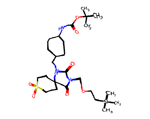 CC(C)(C)OC(=O)NC1CCC(CN2C(=O)N(COCC[Si](C)(C)C)C(=O)C23CCS(=O)(=O)CC3)CC1